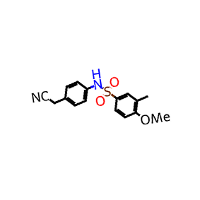 COc1ccc(S(=O)(=O)Nc2ccc(CC#N)cc2)cc1C